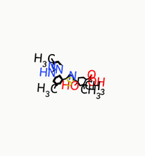 Cc1cc(Nc2nccc(C)n2)cc(-c2cnc(C3(O)CCC(C(=O)O)C(C)(C)C3)s2)c1